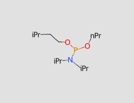 CCCOP(OCCC(C)C)N(C(C)C)C(C)C